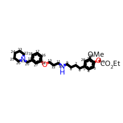 CCOC(=O)Oc1ccc(CCCCNCCCOc2cccc(CN3CCCCC3)c2)cc1OC